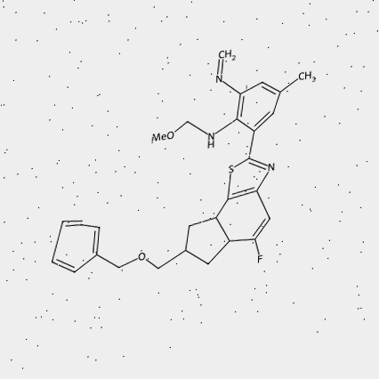 C=Nc1cc(C)cc(-c2nc3c(s2)C2CC(COCc4ccccc4)CC2C(F)=C3)c1NCOC